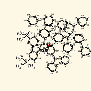 CC(C)(C)c1ccc2c(c1)c1cc(C(C)(C)C)ccc1n2-c1cc(-n2c3ccccc3c3ccccc32)nc(-c2cc([Si](c3ccccc3)(c3cccc(-c4ccccc4)c3)c3cccc(-c4ccccc4)c3)cc([Si](c3ccccc3)(c3cccc(-c4ccccc4)c3)c3cccc(-c4ccccc4)c3)c2)n1